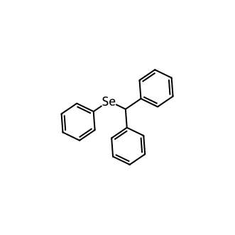 c1ccc([Se]C(c2ccccc2)c2ccccc2)cc1